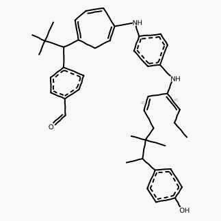 CC/C=C(\C=C/CC(C)(C)C(C)c1ccc(O)cc1)Nc1ccc(NC2=CCC(C(c3ccc(C=O)cc3)C(C)(C)C)=CC=C2)cc1